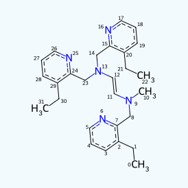 CCc1cccnc1CN(C)/C=C/N(Cc1ncccc1CC)Cc1ncccc1CC